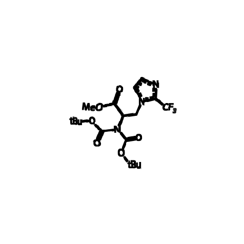 COC(=O)C(Cn1ccnc1C(F)(F)F)N(C(=O)OC(C)(C)C)C(=O)OC(C)(C)C